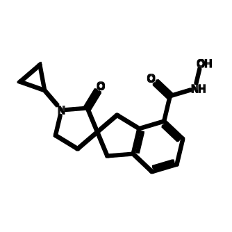 O=C(NO)c1cccc2c1CC1(CCN(C3CC3)C1=O)C2